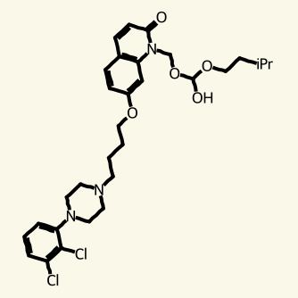 CC(C)CCOC(O)OCn1c(=O)ccc2ccc(OCCCCN3CCN(c4cccc(Cl)c4Cl)CC3)cc21